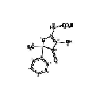 CC1(c2ccccn2)OC(NC(=O)O)=C(O)C1=O